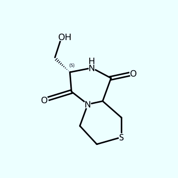 O=C1N[C@@H](CO)C(=O)N2CCSCC12